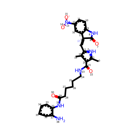 Cc1[nH]c(/C=C2\C(=O)Nc3ccc([N+](=O)[O-])cc32)c(C)c1C(=O)NCCCCCC(=O)Nc1ccccc1N